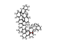 CC1(C)c2ccccc2-c2ccc(N(c3ccccc3-c3ccccc3)c3ccc(-c4ccc5c(c4)C4(c6ccccc6Oc6c4ccc4ccccc64)c4ccccc4-5)c4ccccc34)cc21